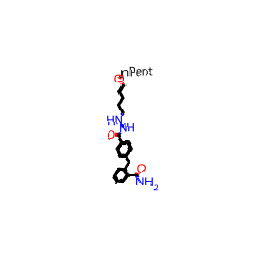 CCCCCOCCCCCNNC(=O)c1ccc(Cc2ccccc2C(N)=O)cc1